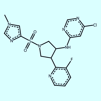 Cn1cnc(S(=O)(=O)N2CC(Nc3cc(Cl)ncn3)C(c3ncccc3F)C2)c1